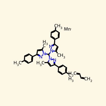 C=CC=C.Cc1ccc(-c2cc(C)n(C(n3nc(-c4ccc(C)cc4)cc3C)n3nc(-c4ccc(C)cc4)cc3C)n2)cc1.[Mn]